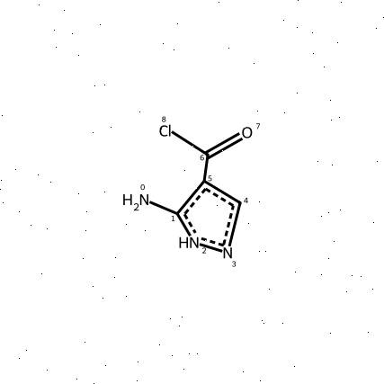 Nc1[nH]ncc1C(=O)Cl